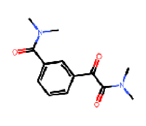 CN(C)C(=O)C(=O)c1cccc(C(=O)N(C)C)c1